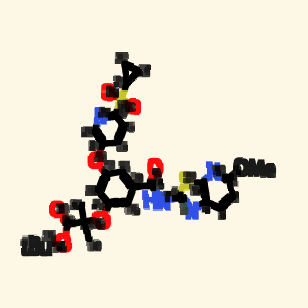 COc1ccc2nc(NC(=O)c3cc(Oc4ccc(S(=O)(=O)C5CC5)nc4)cc(OC(C)(C)C(=O)OC(C)(C)C)c3)sc2n1